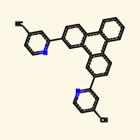 N#Cc1ccnc(-c2ccc3c4ccccc4c4ccc(-c5cc(C#N)ccn5)cc4c3c2)c1